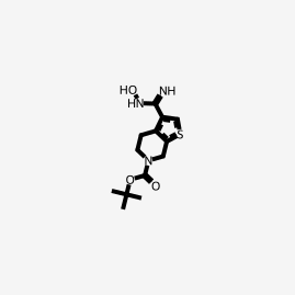 CC(C)(C)OC(=O)N1CCc2c(C(=N)NO)csc2C1